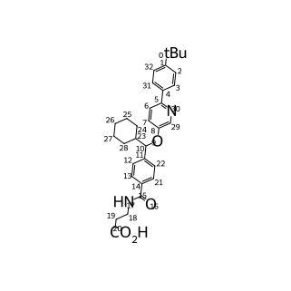 CC(C)(C)c1ccc(-c2ccc(OC(c3ccc(C(=O)NCCC(=O)O)cc3)C3CCCCC3)cn2)cc1